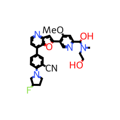 COc1cc(C(O)N(C)CCO)ncc1-c1cc2nccc(-c3ccc(N4CCC(F)C4)c(C#N)c3)c2o1